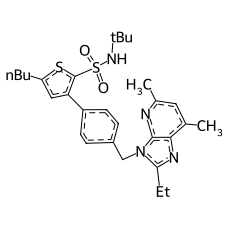 CCCCc1cc(-c2ccc(Cn3c(CC)nc4c(C)cc(C)nc43)cc2)c(S(=O)(=O)NC(C)(C)C)s1